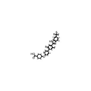 O=C(O)C1CCC(Oc2ccc(-c3cc(F)c(-c4nc5ccc(C(F)(F)F)cc5[nH]4)cc3F)cn2)CC1